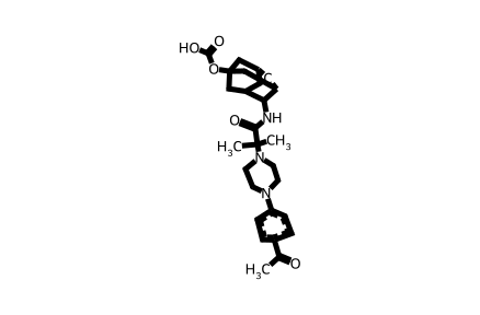 CC(=O)c1ccc(N2CCN(C(C)(C)C(=O)NC3C4CC5CC3CC(OC(=O)O)(C5)C4)CC2)cc1